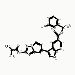 CC(C)C(=O)Nc1nc2cc(-c3c[nH]c4ncc(C(=O)N[C@@H](C)c5cccc(F)c5)cc34)ccn2n1